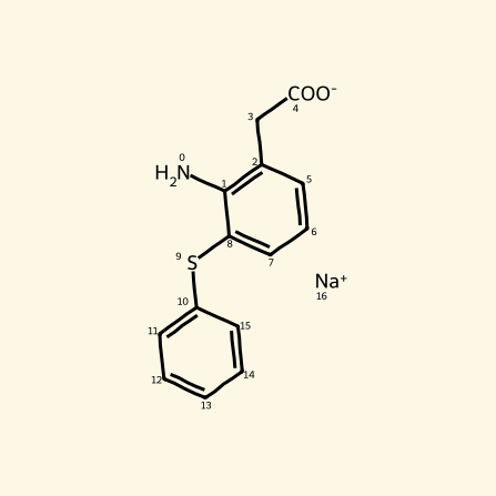 Nc1c(CC(=O)[O-])cccc1Sc1ccccc1.[Na+]